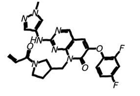 C=CC(=O)N1CCC(Cn2c(=O)c(Oc3ccc(F)cc3F)cc3cnc(Nc4cnn(C)c4)nc32)C1